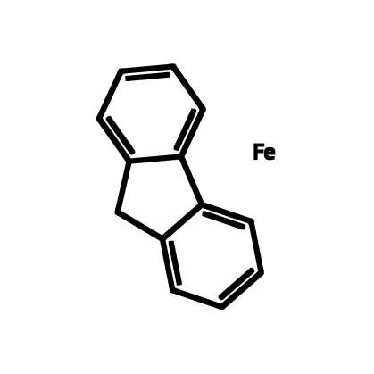 [Fe].c1ccc2c(c1)Cc1ccccc1-2